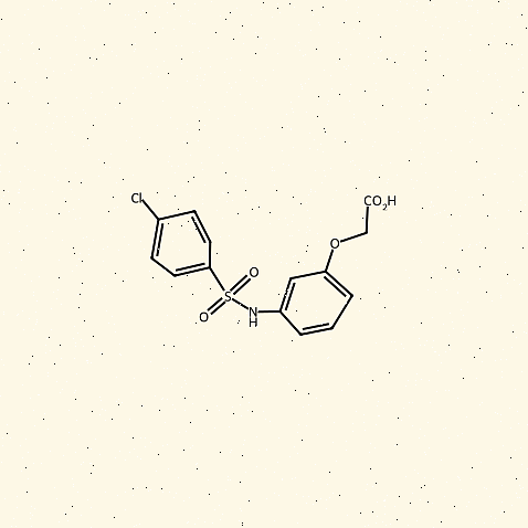 O=C(O)COc1cccc(NS(=O)(=O)c2ccc(Cl)cc2)c1